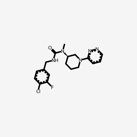 CN(C(=O)NCc1ccc(Cl)c(F)c1)[C@@H]1CCCN(c2cccnn2)C1